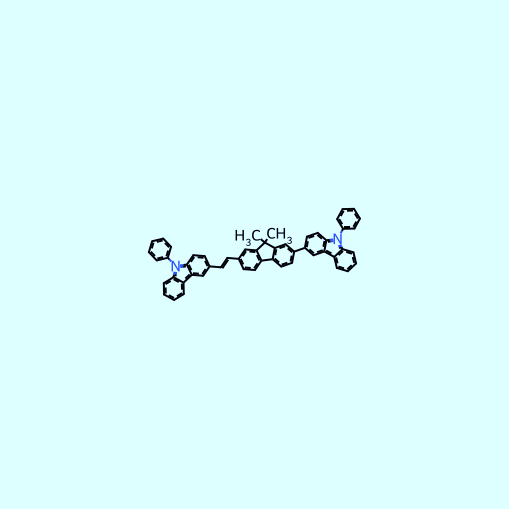 CC1(C)c2cc(/C=C/c3ccc4c(c3)c3ccccc3n4-c3ccccc3)ccc2-c2ccc(-c3ccc4c(c3)c3ccccc3n4-c3ccccc3)cc21